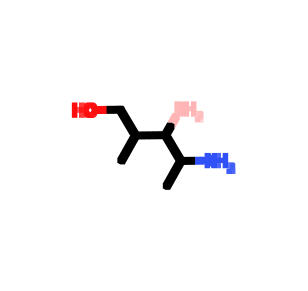 BC(C(C)N)C(C)CO